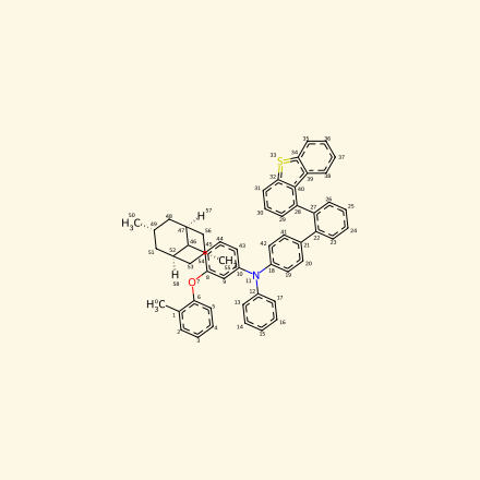 Cc1ccccc1Oc1cc(N(c2ccccc2)c2ccc(-c3ccccc3-c3cccc4sc5ccccc5c34)cc2)ccc1C1[C@H]2C[C@@H](C)C[C@@H]1C[C@@H](C)C2